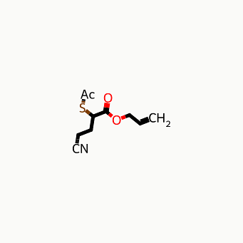 C=CCOC(=O)C(CCC#N)SC(C)=O